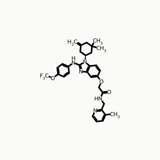 C=C1C[C@H](n2c(Nc3ccc(OC(F)(F)F)cc3)nc3cc(OCC(=O)NCc4ncccc4C)ccc32)CC(C)(C)C1